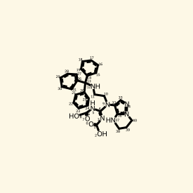 O=C(O)N=C(NC(=O)O)N(CCNC(c1ccccc1)(c1ccccc1)c1ccccc1)c1cnn2c1NCCC2